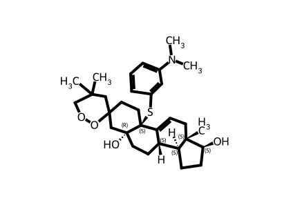 CN(C)c1cccc(S[C@]23CCC4(CC(C)(C)COO4)C[C@]2(O)CC[C@@H]2C3=CC[C@]3(C)[C@@H](O)CC[C@@H]23)c1